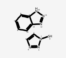 Sn1ccnn1.c1ccc2[nH]nnc2c1